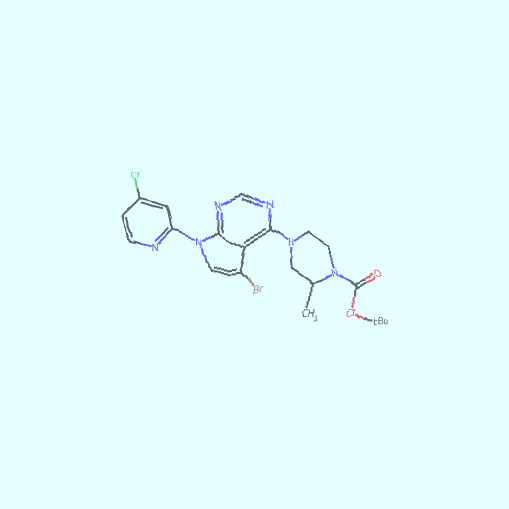 CC1CN(c2ncnc3c2c(Br)cn3-c2cc(Cl)ccn2)CCN1C(=O)OC(C)(C)C